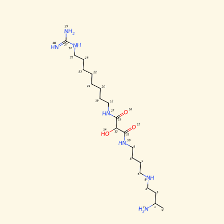 CC(N)CCNCCCCNC(=O)C(O)C(=O)NCCCCCCCCNC(=N)N